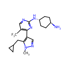 Cn1ncc(-c2nc(N[C@H]3CC[C@H](N)CC3)ncc2C(F)(F)F)c1CC1CC1